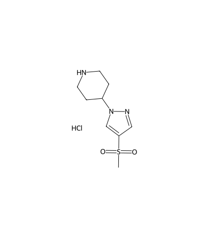 CS(=O)(=O)c1cnn(C2CCNCC2)c1.Cl